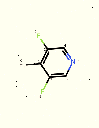 CCc1c(F)cncc1F